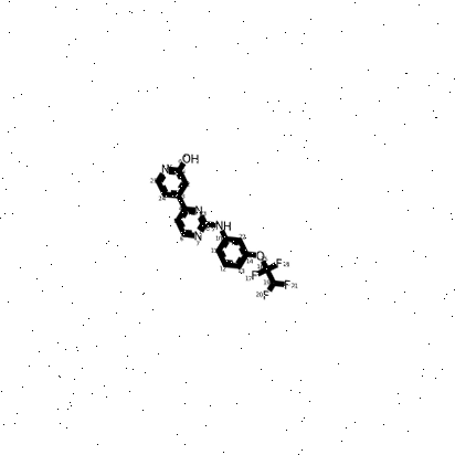 Oc1cc(-c2ccnc(Nc3cccc(OC(F)(F)C(F)F)c3)n2)ccn1